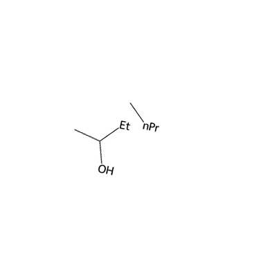 CCC(C)O.CCCC